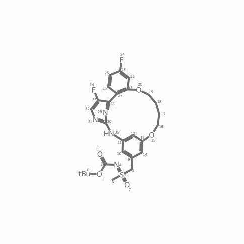 CC(C)(C)OC(=O)N=S(C)(=O)Cc1cc2cc(c1)OCCCCOc1cc(F)ccc1-c1nc(ncc1F)N2